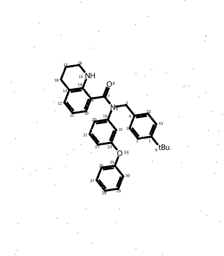 CC(C)(C)c1ccc(CN(C(=O)c2cccc3c2NCCC3)c2cccc(Oc3ccccc3)c2)cc1